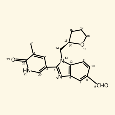 Cc1cc(-c2nc3cc(C=O)ccc3n2C[C@H]2CCCO2)c[nH]c1=O